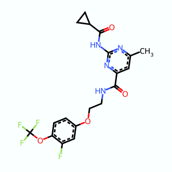 Cc1cc(C(=O)NCCOc2ccc(OC(F)(F)F)c(F)c2)nc(NC(=O)C2CC2)n1